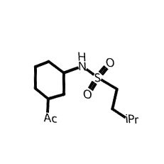 CC(=O)C1CCCC(NS(=O)(=O)CCC(C)C)C1